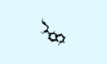 N#CCC(=O)c1ccc2ncccc2c1